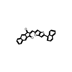 O=C1C(=Cc2cc3sc(-c4cccc5ccccc45)cc3o2)C(=O)c2cc3ccccc3cc21